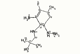 Bc1c(F)c(C)cc(NN)c1NCC(C)(C)O